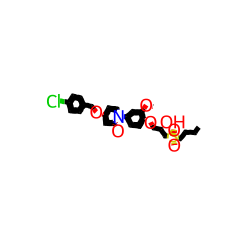 CCCCS(=O)(=O)C[C@@H](O)COc1ccc(-n2ccc(OCc3ccc(Cl)cc3)cc2=O)cc1OC